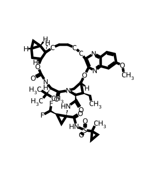 CC[C@@H]1[C@@H]2CN(C(=O)[C@H](C(C)(C)C)NC(=O)O[C@@H]3C[C@@H]4C[C@@H]4[C@H]3CCCCCc3nc4ccc(OC)cc4nc3O2)[C@@H]1C(=O)N[C@]1(C(=O)NS(=O)(=O)C2(C)CC2)C[C@H]1C(F)F